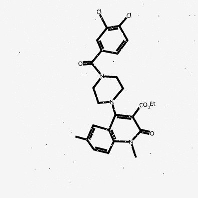 CCOC(=O)c1c(N2CCN(C(=O)c3ccc(Cl)c(Cl)c3)CC2)c2cc(C)ccc2n(C)c1=O